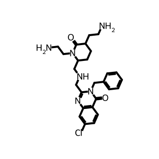 NCCC1CCC(CNCc2nc3cc(Cl)ccc3c(=O)n2Cc2ccccc2)N(CCN)C1=O